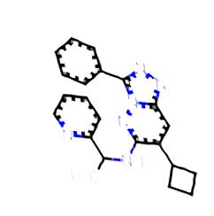 CC(Nc1nn2c(-c3ccccc3)nnc2cc1C1CCC1)c1ccccn1